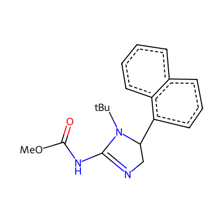 COC(=O)NC1=NCC(c2cccc3ccccc23)N1C(C)(C)C